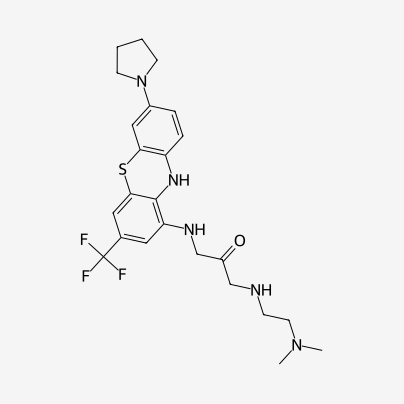 CN(C)CCNCC(=O)CNc1cc(C(F)(F)F)cc2c1Nc1ccc(N3CCCC3)cc1S2